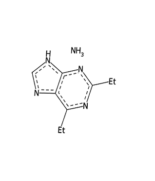 CCc1nc(CC)c2nc[nH]c2n1.N